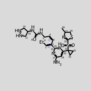 CC/C=C(\C=C/CNC(=O)NC1CNNC1)[C@@H]1N=C(N)C=C(C2(S(=O)(=O)C3=NC(C)CS3)CC2)N1